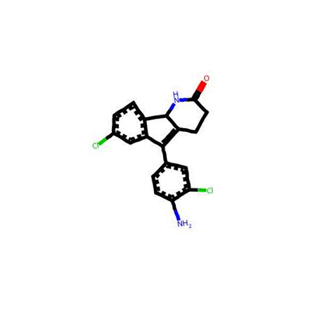 Nc1ccc(C2=C3CCC(=O)NC3c3ccc(Cl)cc32)cc1Cl